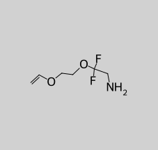 C=COCCOC(F)(F)CN